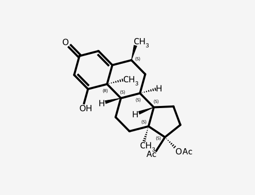 CC(=O)O[C@@]1(C(C)=O)CC[C@H]2[C@@H]3C[C@H](C)C4=CC(=O)C=C(O)[C@]4(C)[C@H]3CC[C@@]21C